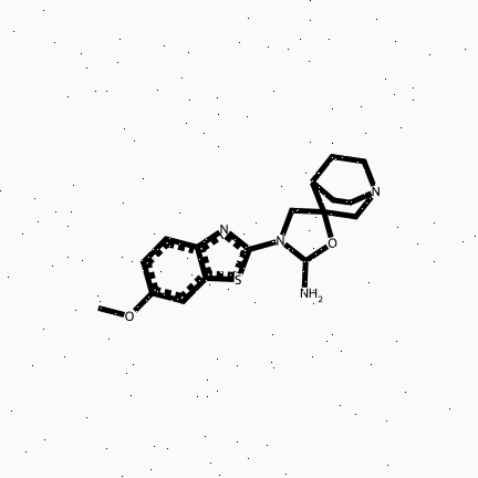 COc1ccc2nc(N3CC4(CN5CCC4CC5)OC3N)sc2c1